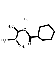 CC(OC(=O)C1CCCCC1)N(C)C.Cl